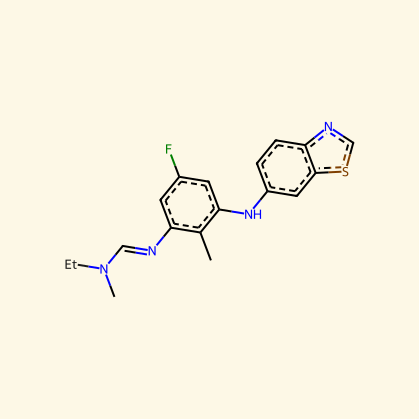 CCN(C)C=Nc1cc(F)cc(Nc2ccc3ncsc3c2)c1C